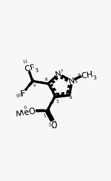 COC(=O)c1cn(C)nc1C(F)C(F)(F)F